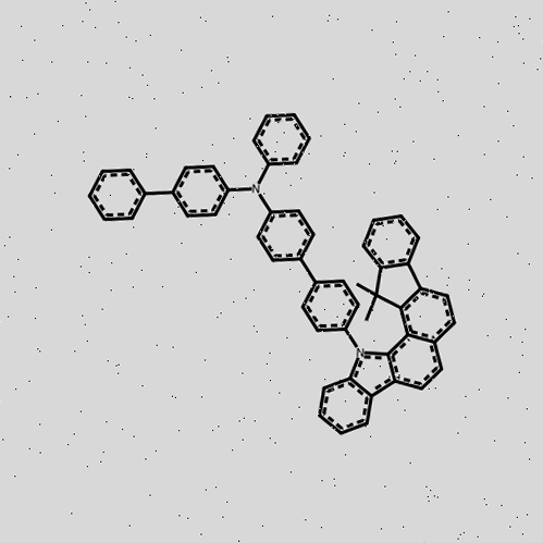 CC1(C)c2ccccc2-c2ccc3ccc4c5ccccc5n(-c5ccc(-c6ccc(N(c7ccccc7)c7ccc(-c8ccccc8)cc7)cc6)cc5)c4c3c21